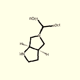 CCCCCCCCC(CCCCCCCC)N1C[C@H]2CCN[C@H]2C1